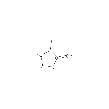 CC1OCCC1=O